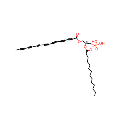 CC#CC#CC#CC#CC#CC#CC#CC(=O)OC[C@@H](COP(=O)(O)O)OC(=O)CCCCCCCCCCCCC